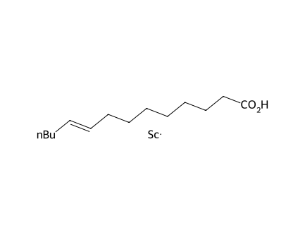 CCCCC=CCCCCCCCC(=O)O.[Sc]